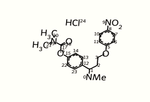 CNC(CCOc1ccc([N+](=O)[O-])cc1)c1ccc(OC(=O)N(C)C)cc1.Cl